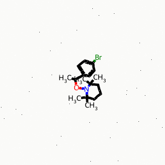 CC(ON1C(C)(C)CCCC1(C)C)c1ccc(Br)cc1